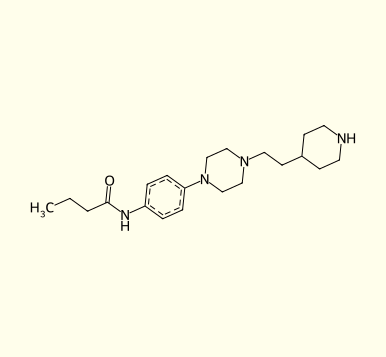 CCCC(=O)Nc1ccc(N2CCN(CCC3CCNCC3)CC2)cc1